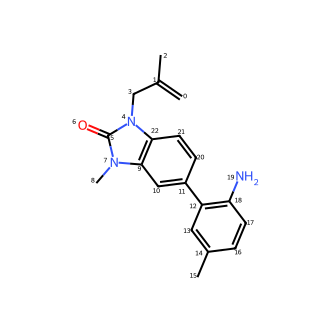 C=C(C)Cn1c(=O)n(C)c2cc(-c3cc(C)ccc3N)ccc21